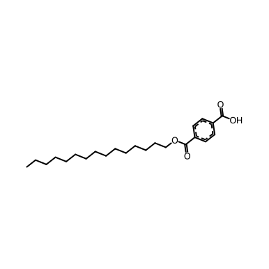 CCCCCCCCCCCCCCCOC(=O)c1ccc(C(=O)O)cc1